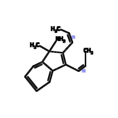 C/C=C\C1=C(/C=C\C)C(C)(N)c2ccccc21